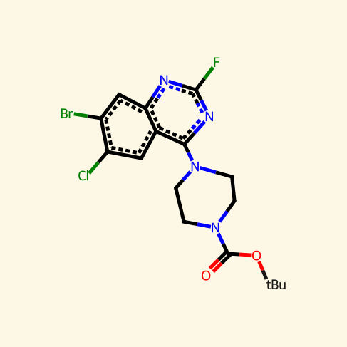 CC(C)(C)OC(=O)N1CCN(c2nc(F)nc3cc(Br)c(Cl)cc23)CC1